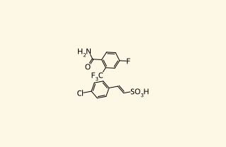 NC(=O)c1ccc(F)cc1C(F)(F)F.O=S(=O)(O)C=Cc1ccc(Cl)cc1